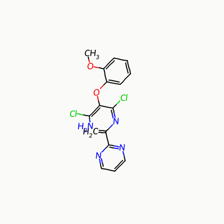 C=C(/N=C(Cl)\C(Oc1ccccc1OC)=C(/N)Cl)c1ncccn1